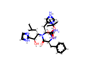 CC(C)C[C@@H]([C@@H](O)c1ncc[nH]1)N(C(=O)[C@H](Cc1ccccc1)NC(=O)OC(C)(C)C)[C@@H](Cc1c[nH]cn1)C(N)=O